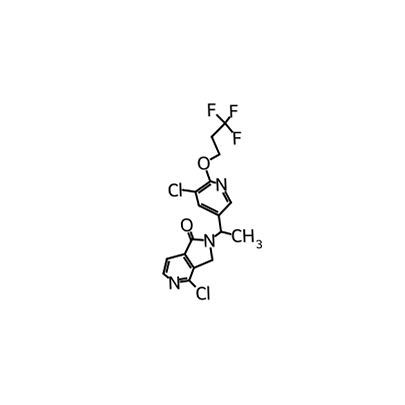 CC(c1cnc(OCCC(F)(F)F)c(Cl)c1)N1Cc2c(ccnc2Cl)C1=O